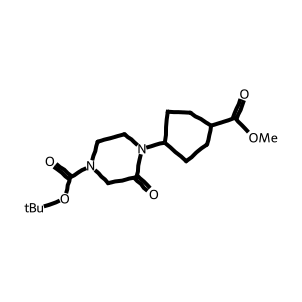 COC(=O)C1CCC(N2CCN(C(=O)OC(C)(C)C)CC2=O)CC1